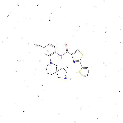 Cc1ccc(NC(=O)c2csc(-c3cccs3)n2)c(N2CCCC3(CCNC3)C2)c1